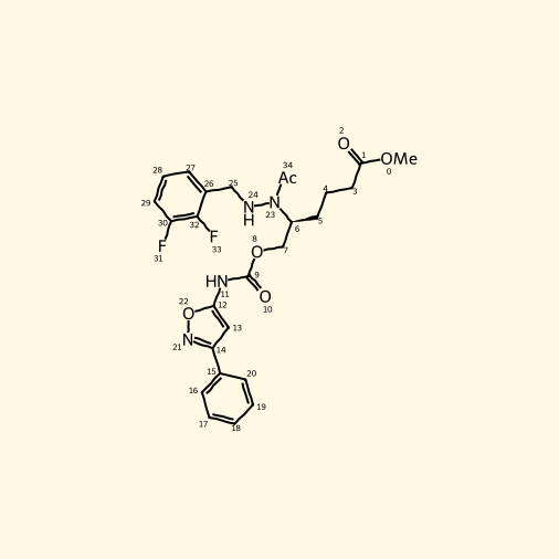 COC(=O)CCC[C@@H](COC(=O)Nc1cc(-c2ccccc2)no1)N(NCc1cccc(F)c1F)C(C)=O